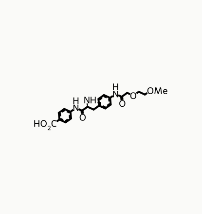 COCCOCC(=O)Nc1ccc(C[C@H](N)C(=O)Nc2ccc(C(=O)O)cc2)cc1